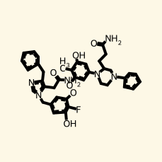 Cc1c(O)cc(N2CCN(c3ccccc3)CC2CCC(N)=O)cc1OOc1cc(Cn2cnc(Cc3ccccc3)c2CC(N)=O)cc(O)c1F